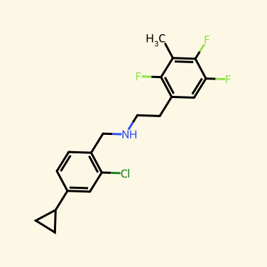 Cc1c(F)c(F)cc(CCNCc2ccc(C3CC3)cc2Cl)c1F